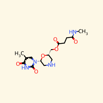 CNC(=O)CCC(=O)OC[C@@H]1CNC[C@H](n2cc(C)c(=O)[nH]c2=O)O1